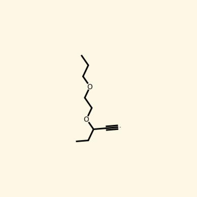 [C]#CC(CC)OCCOCCC